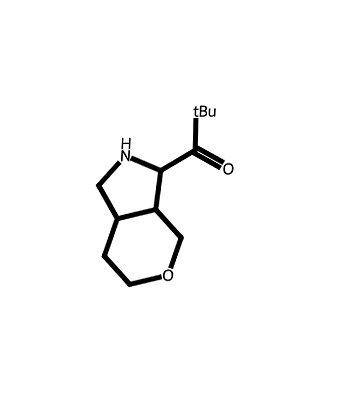 CC(C)(C)C(=O)C1NCC2CCOCC21